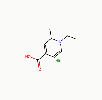 Br.CCN1C=CC(C(=O)O)=CC1C